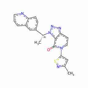 Cc1cc(-n2ccc3nnn([C@H](C)c4ccc5ncccc5c4)c3c2=O)sn1